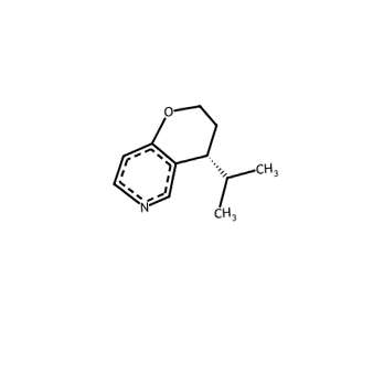 CC(C)[C@H]1CCOc2ccncc21